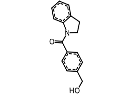 O=C(c1ccc(CO)cc1)N1CCc2ccccc21